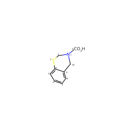 O=C(O)N1CSc2ccccc2C1